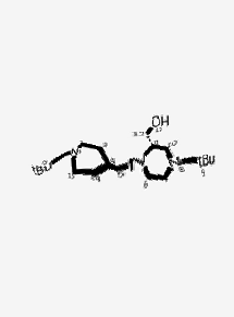 CC(C)(C)N1CCC(N2CCN(C(C)(C)C)C[C@H]2CO)CC1